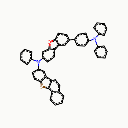 c1ccc(N(c2ccccc2)c2ccc(-c3ccc4oc5cc(N(c6ccccc6)c6ccc7sc8c9ccccc9ccc8c7c6)ccc5c4c3)cc2)cc1